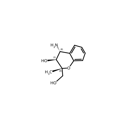 C[C@]1(CO)Oc2ccccc2[C@@H](N)[C@@H]1O